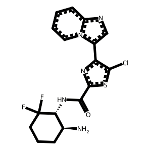 N[C@H]1CCCC(F)(F)[C@@H]1NC(=O)c1nc(-c2cnc3ccccn23)c(Cl)s1